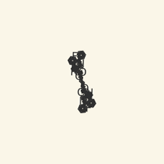 C[C@@H]1N=C(c2ccccc2F)c2ccccc2-n2cnc(C(=O)OCCCCOC(=O)c3ncn4c3[C@H](C)N=C(c3ccccc3F)c3ccccc3-4)c21